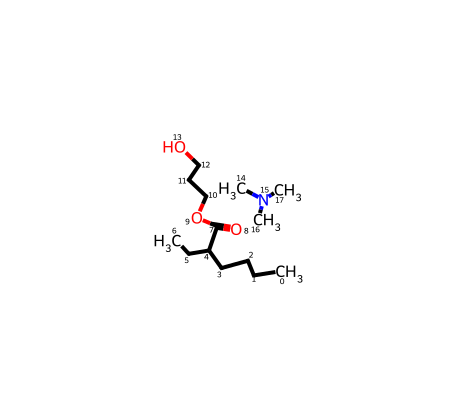 CCCCC(CC)C(=O)OCCCO.CN(C)C